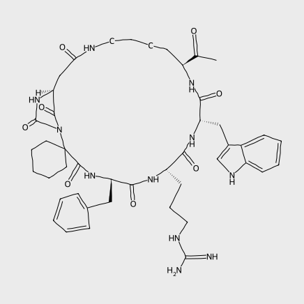 CC(=O)[C@@H]1CCCCNC(=O)C[C@@H]2NC(=O)N(C2=O)C2(CCCCC2)C(=O)N[C@H](Cc2ccccc2)C(=O)N[C@@H](CCCNC(=N)N)C(=O)N[C@@H](Cc2c[nH]c3ccccc23)C(=O)N1